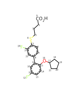 O=C(O)CCCSc1ccc(-c2cc(F)ccc2OC2CCCC2)cc1F